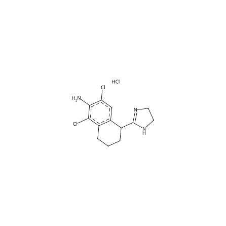 Cl.Nc1c(Cl)cc2c(c1Cl)CCCC2C1=NCCN1